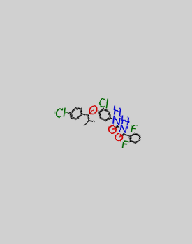 CC(C)C(Oc1ccc(NC(=O)NC(=O)c2c(F)cccc2F)cc1Cl)c1ccc(Cl)cc1